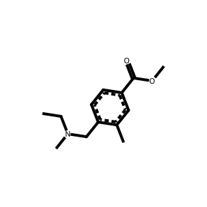 CCN(C)Cc1ccc(C(=O)OC)cc1C